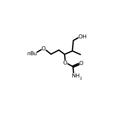 CCCCOCCC(OC(N)=O)C(C)CO